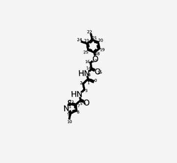 C=C(CCNC(=O)c1cc(C)ns1)NC(=O)COc1ccc(C)c(C)c1